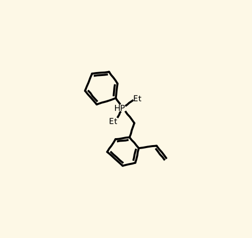 C=Cc1ccccc1C[PH](CC)(CC)c1ccccc1